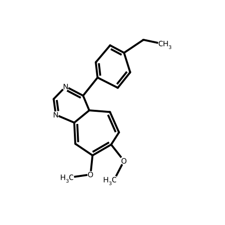 CCc1ccc(C2=NC=NC3=CC(OC)=C(OC)C=CC32)cc1